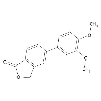 COc1[c]c(-c2ccc3c(c2)COC3=O)ccc1OC